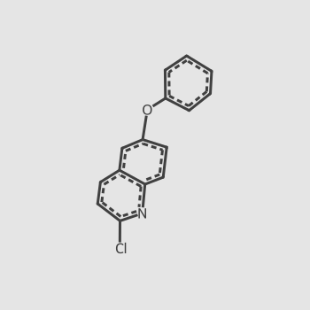 Clc1ccc2cc(Oc3ccccc3)ccc2n1